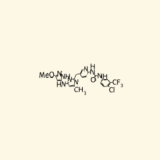 COc1cc(Nc2cc(C)nc(Cc3ccc(NC(=O)Nc4ccc(Cl)c(C(F)(F)F)c4)nc3)n2)[nH]n1